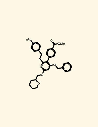 CCCc1ccc(CCc2nc(OCC3CCCCO3)cc(OCc3ccccc3)c2-c2ccc(C(=O)OC)cc2)cc1